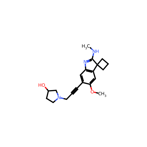 CNC1=Nc2cc(C#CCN3CCC(O)C3)c(OC)cc2C12CCC2